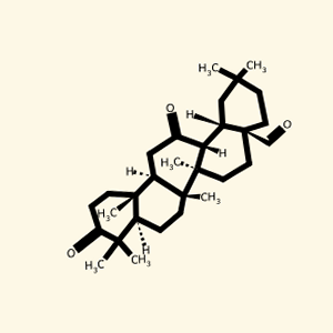 CC1(C)CC[C@]2(C=O)CC[C@]3(C)[C@H](C(=O)C[C@@H]4[C@@]5(C)CCC(=O)C(C)(C)[C@@H]5CC[C@]43C)[C@@H]2C1